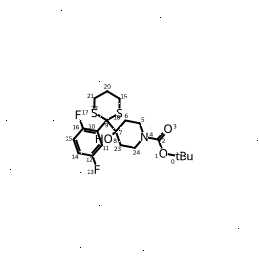 CC(C)(C)OC(=O)N1CCC(O)(C2(c3cc(F)ccc3F)SCCCS2)CC1